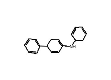 C1=CCC(NC2=CCC(c3ccccc3)C=C2)C=C1